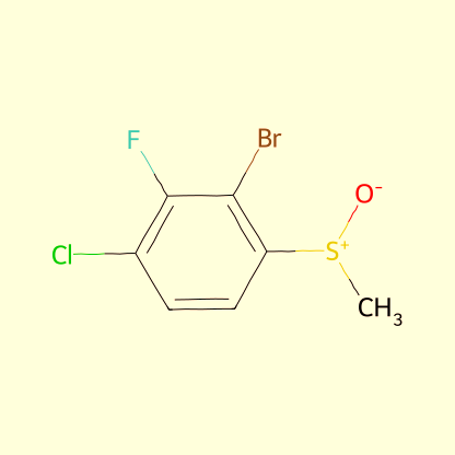 C[S+]([O-])c1ccc(Cl)c(F)c1Br